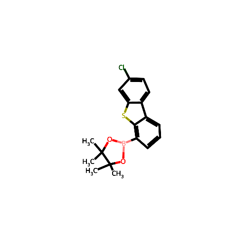 CC1(C)OB(c2cccc3c2sc2cc(Cl)ccc23)OC1(C)C